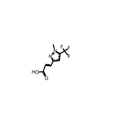 Cn1nc(C=CC(=O)O)cc1C(F)(F)F